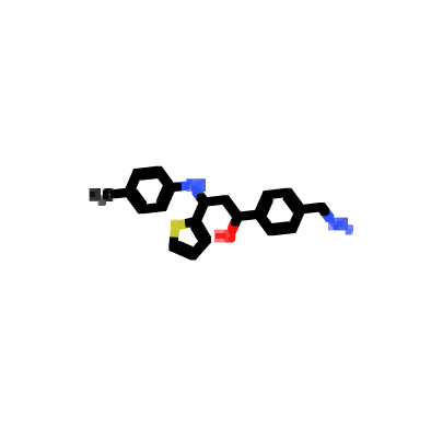 Cc1ccc(NC(CC(O)c2ccc(CN)cc2)c2cccs2)cc1